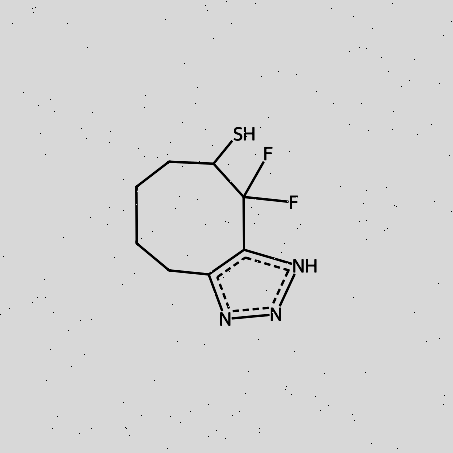 FC1(F)c2[nH]nnc2CCCCC1S